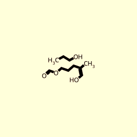 CC(=CO)CCCOC=O.CCCO